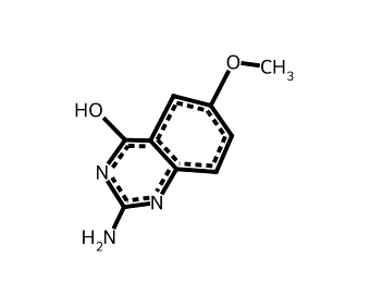 COc1ccc2nc(N)nc(O)c2c1